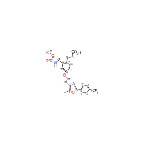 Cc1oc(-c2ccc(C(F)(F)F)cc2)nc1CCOc1ccc(CCC(=O)O)c(CNC(=O)OC(C)C)c1